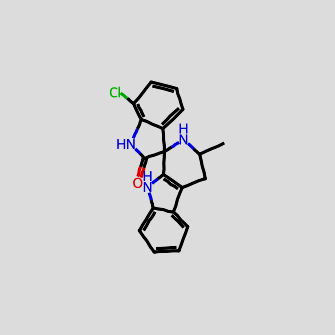 CC1Cc2c([nH]c3ccccc23)C2(N1)C(=O)Nc1c(Cl)cccc12